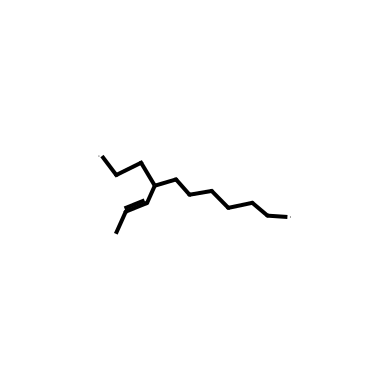 [CH2]CCCCCCC(C=CC)CC[CH2]